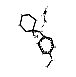 COc1ccc([C@@H](CN=O)C2(O)CCCCC2)cc1